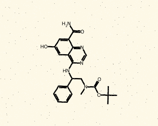 CN(CC(Nc1ncnc2c(C(N)=O)cc(O)cc12)c1ccccc1)C(=O)OC(C)(C)C